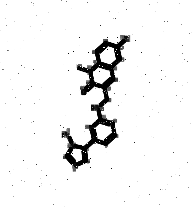 CC(C)n1cncc1-c1ccnc(NCc2cc3cc(Cl)ccc3n(C)c2=O)n1